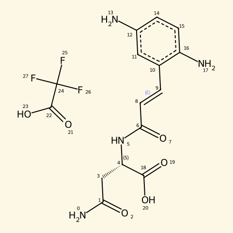 NC(=O)C[C@H](NC(=O)/C=C/c1cc(N)ccc1N)C(=O)O.O=C(O)C(F)(F)F